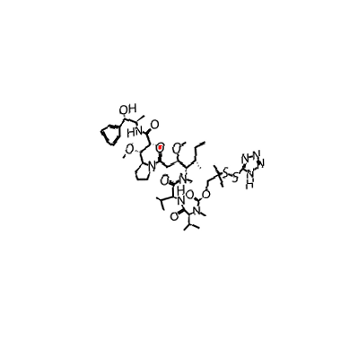 CC[C@H](C)[C@@H]([C@@H](CC(=O)N1CCC[C@H]1[C@H](OC)[C@@H](C)C(=O)N[C@H](C)[C@@H](O)c1ccccc1)OC)N(C)C(=O)[C@@H](NC(=O)[C@H](C(C)C)N(C)C(=O)OCC(C)(C)SSc1nnn[nH]1)C(C)C